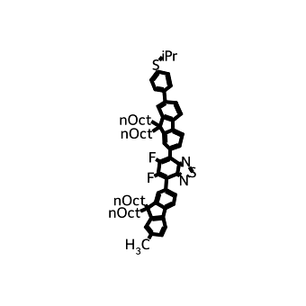 CCCCCCCCC1(CCCCCCCC)c2cc(C)ccc2-c2ccc(-c3c(F)c(F)c(-c4ccc5c(c4)C(CCCCCCCC)(CCCCCCCC)c4cc(-c6ccc(SC(C)C)cc6)ccc4-5)c4nsnc34)cc21